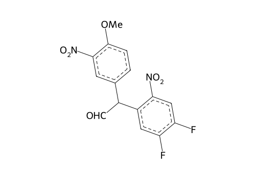 COc1ccc(C(C=O)c2cc(F)c(F)cc2[N+](=O)[O-])cc1[N+](=O)[O-]